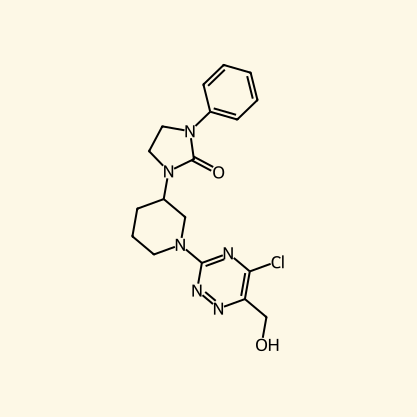 O=C1N(c2ccccc2)CCN1C1CCCN(c2nnc(CO)c(Cl)n2)C1